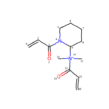 C=CC(=O)N1CCCCC1[N+](C)(C)C(=O)C=C